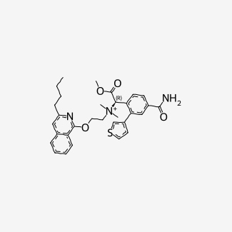 CCCCc1cc2ccccc2c(OCC[N+](C)(C)[C@@H](C(=O)OC)c2ccc(C(N)=O)cc2-c2ccsc2)n1